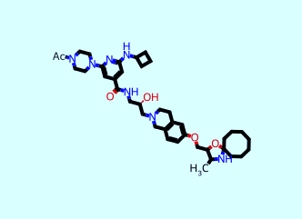 CC(=O)N1CCN(c2cc(C(=O)NC[C@H](O)CN3CCc4cc(OCC5OC6(CCCCCCC6)NC5C)ccc4C3)cc(NC3CCC3)n2)CC1